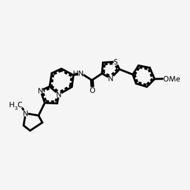 COc1ccc(-c2nc(C(=O)Nc3ccc4nc(C5CCCN5C)cn4c3)cs2)cc1